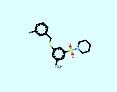 O=C(O)c1cc(SCc2cccc(Cl)c2)cc(S(=O)(=O)N2CCCCC2)c1